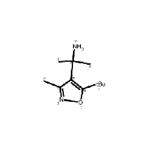 Cc1noc(C(C)(C)C)c1C(C)(C)N